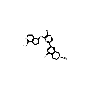 Cc1cc(-c2cnc(N)c(OC3CCc4c3ccnc4N)n2)cc2c1CCN(C)C2